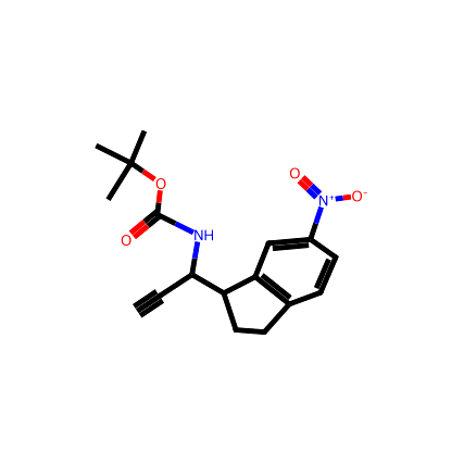 C#CC(NC(=O)OC(C)(C)C)C1CCc2ccc([N+](=O)[O-])cc21